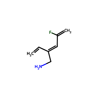 C=C/C(=C\C(=C)F)CN